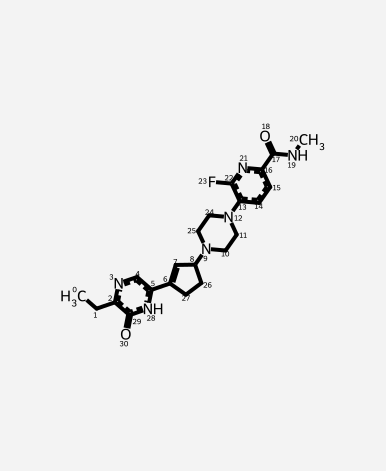 CCc1ncc(C2=CC(N3CCN(c4ccc(C(=O)NC)nc4F)CC3)CC2)[nH]c1=O